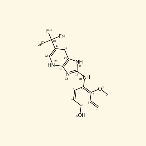 C=C/C(OC)=C(\C=C/CO)Nc1nc2c([nH]1)CC(C(F)(F)F)=CN2